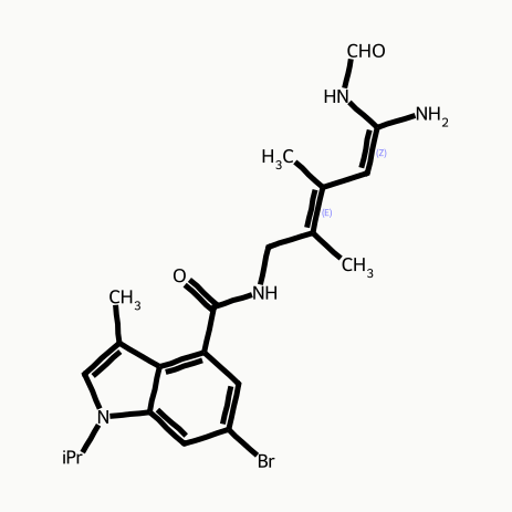 CC(/C=C(/N)NC=O)=C(/C)CNC(=O)c1cc(Br)cc2c1c(C)cn2C(C)C